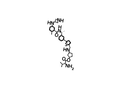 Cc1ccc(NC2CNC2)cc1C(=O)N[C@H](C)c1cccc(-c2ccc(CN[C@H]3CC[C@@H](OC(=O)[C@@H](N)C(C)C)C3)s2)c1